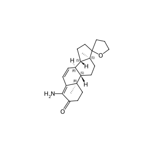 C[C@]12CCC(=O)C(N)=C1C=C[C@@H]1[C@@H]2CC[C@@]2(C)[C@H]1CCC21CCCO1